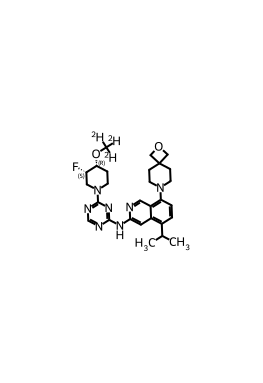 [2H]C([2H])([2H])O[C@@H]1CCN(c2ncnc(Nc3cc4c(C(C)C)ccc(N5CCC6(CC5)COC6)c4cn3)n2)C[C@@H]1F